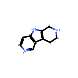 c1cc2[nH]c3c(c2cn1)CCNC3